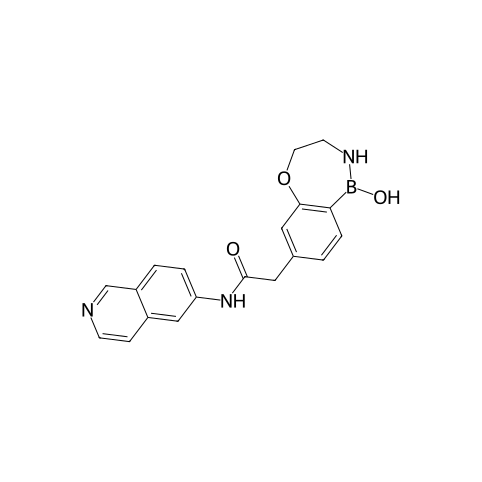 O=C(Cc1ccc2c(c1)OCCNB2O)Nc1ccc2cnccc2c1